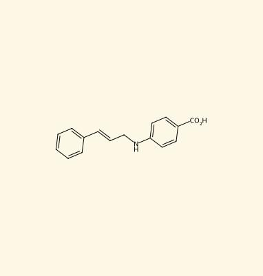 O=C(O)c1ccc(NCC=Cc2ccccc2)cc1